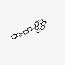 c1cc2c3c(c1)ccc1ccc4ccc5c(c6c-2cccc6n5-c2ccc5cc(-c6nc7ccccc7o6)ncc5c2)c4c13